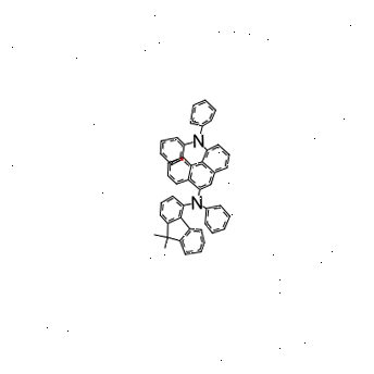 CC1(C)c2ccccc2-c2c(N(c3ccccc3)c3cc4cccc(N(c5ccccc5)c5ccccc5)c4c4ccccc34)cccc21